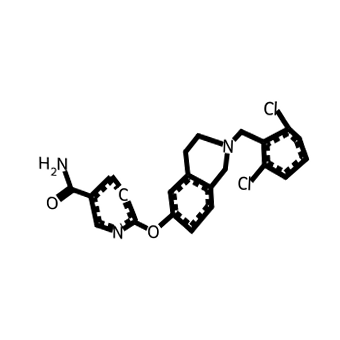 NC(=O)c1ccc(Oc2ccc3c(c2)CCN(Cc2c(Cl)cccc2Cl)C3)nc1